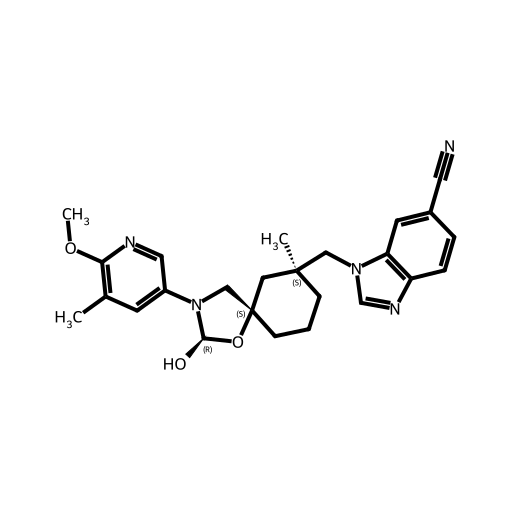 COc1ncc(N2C[C@@]3(CCC[C@](C)(Cn4cnc5ccc(C#N)cc54)C3)O[C@H]2O)cc1C